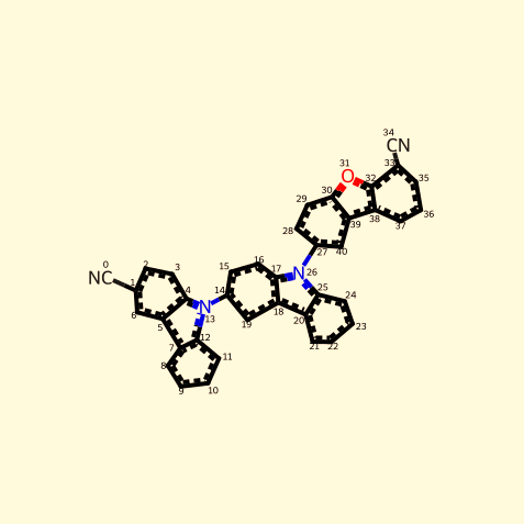 N#Cc1ccc2c(c1)c1ccccc1n2-c1ccc2c(c1)c1ccccc1n2-c1ccc2oc3c(C#N)cccc3c2c1